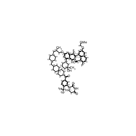 [2H]C([2H])([2H])c1ccc(C(=O)N2CCC3(CCC(CN4CCN(C[C@@H](C)COc5nc(N6CCC[C@@](C)(O)C6)c6cnc(-c7cc(OCOC)cc8ccc(F)c(C#C)c78)c(F)c6n5)CC4)CC3)CC2)cc1N1CCC(=O)NC1=O